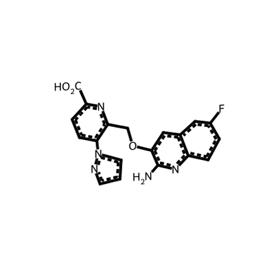 Nc1nc2ccc(F)cc2cc1OCc1nc(C(=O)O)ccc1-n1cccn1